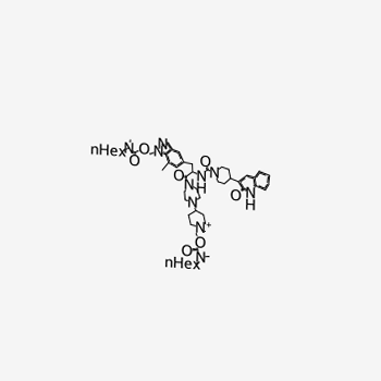 CCCCCCN(C)C(=O)OCn1ncc2cc(CC(NC(=O)N3CCC(c4cc5ccccc5[nH]c4=O)CC3)C(=O)N3CCN(C4CC[N+](C)(COC(=O)N(C)CCCCCC)CC4)CC3)cc(C)c21